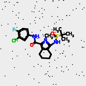 Cn1c(N[S@@+]([O-])C(C)(C)C)c2c(c1C(=O)Nc1ccc(F)c(Cl)c1)CCCC2